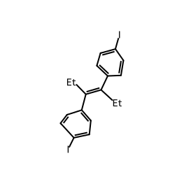 CC/C(=C(/CC)c1ccc(I)cc1)c1ccc(I)cc1